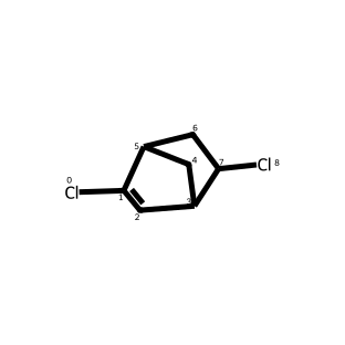 ClC1=CC2CC1CC2Cl